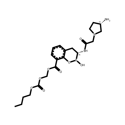 CCCCOC(=O)OCOC(=O)c1cccc2c1OB(O)[C@@H](BC(=O)CN1CC[C@H](N)C1)C2